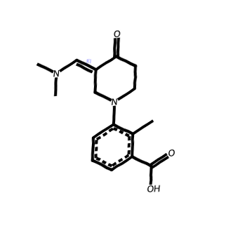 Cc1c(C(=O)O)cccc1N1CCC(=O)/C(=C/N(C)C)C1